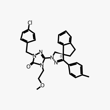 COCCn1c(N2C[C@@]3(CCc4ccccc43)C(c3ccc(C)cc3)=N2)nn(Cc2ccc(Cl)cc2)c1=O